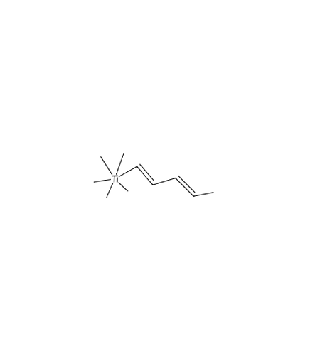 CC=CC=[CH][Ti]([CH3])([CH3])([CH3])([CH3])[CH3]